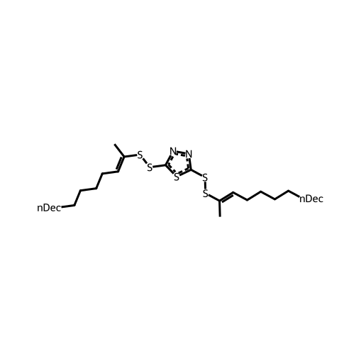 CCCCCCCCCCCCCCC=C(C)SSc1nnc(SSC(C)=CCCCCCCCCCCCCCC)s1